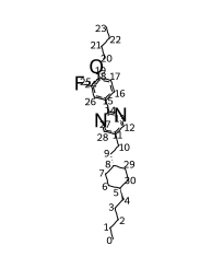 CCCCC[C@H]1CC[C@H](CCc2cnc(-c3ccc(OCCCC)c(F)c3)nc2)CC1